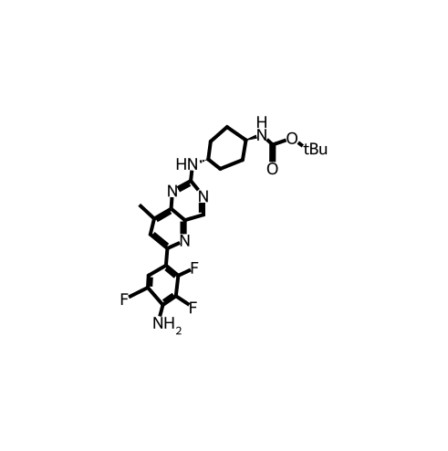 Cc1cc(-c2cc(F)c(N)c(F)c2F)nc2cnc(N[C@H]3CC[C@H](NC(=O)OC(C)(C)C)CC3)nc12